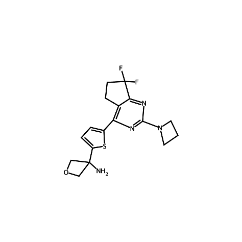 NC1(c2ccc(-c3nc(N4CCC4)nc4c3CCC4(F)F)s2)COC1